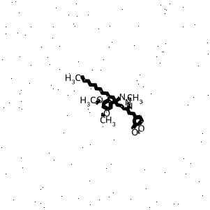 CCCCCCCCCCCCC(C#N)(CCCC(CCC1=CC=C2OCOC=C2C1)N=NC)c1cc(OCC)cc(OCC)c1